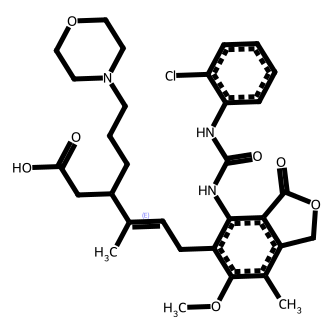 COc1c(C)c2c(c(NC(=O)Nc3ccccc3Cl)c1C/C=C(\C)C(CCCN1CCOCC1)CC(=O)O)C(=O)OC2